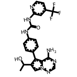 CC(O)c1cn2ncnc(N)c2c1-c1ccc(NC(=O)Nc2cc(C(F)(F)F)ccn2)cc1